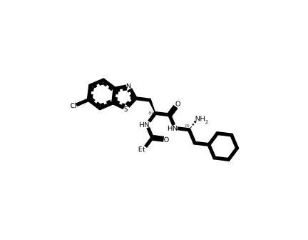 CCC(=O)N[C@@H](Cc1nc2ccc(Cl)cc2s1)C(=O)N[C@H](N)CC1CCCCC1